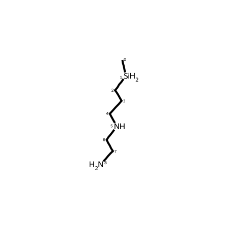 C[SiH2]CCCNCCN